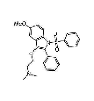 COc1ccc2c(c1)c(OCCN(C)C)c(-c1ccccc1)n2S(=O)(=O)c1ccccc1